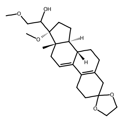 COCC(O)[C@@]1(OC)CC[C@H]2[C@@H]3CCC4=C(CCC5(C4)OCCO5)C3=CC[C@@]21C